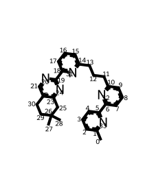 Cc1cccc(-c2cccc(CCCc3cccc(-c4ncc5c(n4)CC(C)(C)CC5)n3)n2)n1